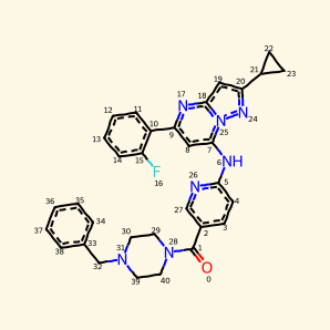 O=C(c1ccc(Nc2cc(-c3ccccc3F)nc3cc(C4CC4)nn23)nc1)N1CCN(Cc2ccccc2)CC1